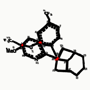 COCOc1cc(C(F)(F)F)ccc1OC1C2CCCC1CN(c1ccc(C(F)(F)F)cn1)C2